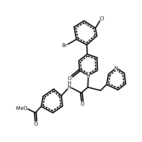 COC(=O)c1ccc(NC(=O)C(Cc2cccnc2)n2ccc(-c3cc(Cl)ccc3Br)cc2=O)cc1